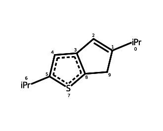 CC(C)C1=Cc2cc(C(C)C)sc2C1